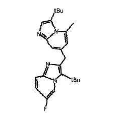 Cc1cc(Cc2nc3ccc(F)cn3c2C(C)(C)C)cc2ncc(C(C)(C)C)n12